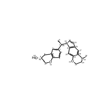 C[C@H](c1ccc2c(c1)C[C@@H](O)CO2)n1cnc2cc3c(cc21)OCCN3C